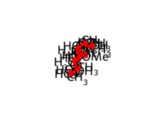 CO[C@@H]([C@@H]1Cc2cc3cc(O[C@H]4C[C@@H](O[C@H]5C[C@@H](O)[C@H](O)C(C)O5)[C@H](O)C(C)O4)c(C)c(O)c3c(O)c2C(=O)[C@H]1O[C@H]1C[C@@H](O[C@H]2C[C@@H](O[C@H]3C[C@](C)(O)[C@H](O)C(C)O3)[C@@H](C)C(C)O2)[C@H](O)C(C)O1)[C@@H](O)C(C)=O